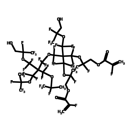 C=C(F)C(=O)OCC(F)(OC(F)(F)C(C(F)(F)OC(F)(F)C(C(F)(F)OC(C)(F)C(F)(F)F)(C(F)(F)OC(C)(F)C(F)(F)F)C(F)(F)OC(F)(CO)C(F)(F)F)(C(F)(F)OC(F)(CO)C(F)(F)F)C(F)(F)OC(F)(COC(=O)C(=C)F)C(F)(F)F)C(F)(F)F